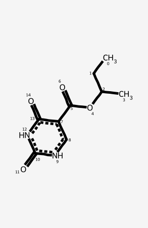 CCC(C)OC(=O)c1c[nH]c(=O)[nH]c1=O